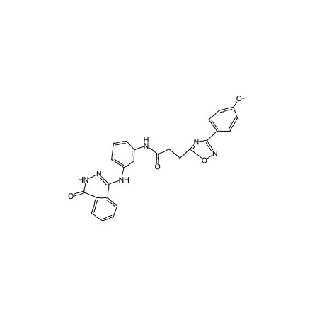 COc1ccc(-c2noc(CCC(=O)Nc3cccc(Nc4n[nH]c(=O)c5ccccc45)c3)n2)cc1